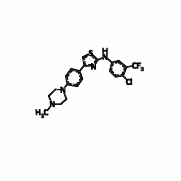 CN1CCN(c2ccc(-c3csc(Nc4ccc(Cl)c(C(F)(F)F)c4)n3)cc2)CC1